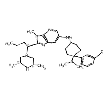 CCC[C@@H](c1nc2cc(N[C@H]3CC[C@](c4cccc(O)c4)(N(C)C)CC3)cnc2n1C)N1C[C@@H](C)N[C@@H](C)C1